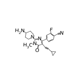 Cn1c(N2CCC(N)CC2)nc(-c2ccc(C#N)c(F)c2)c(C#CC2CC2)c1=O